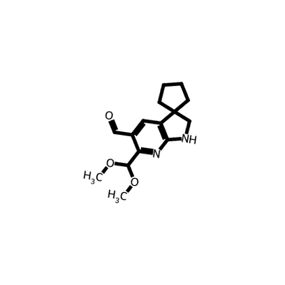 COC(OC)c1nc2c(cc1C=O)C1(CCCC1)CN2